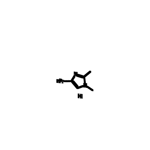 CCCc1cn(C)c(C)n1.I